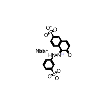 O=C1C=Cc2cc(S(=O)(=O)[O-])ccc2/C1=N\Nc1cccc(S(=O)(=O)[O-])c1.[Na+].[Na+]